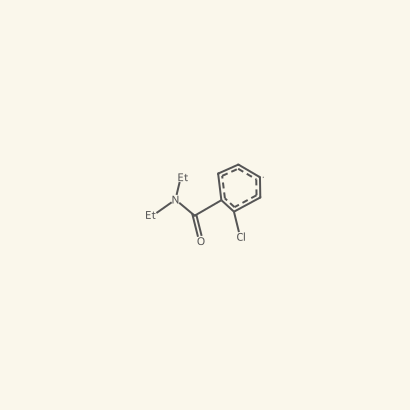 CCN(CC)C(=O)c1cc[c]cc1Cl